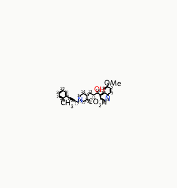 COc1ccc2nccc(C(O)CC[C@@H]3CCN(CC#Cc4ccccc4C)C[C@@H]3C(=O)O)c2c1